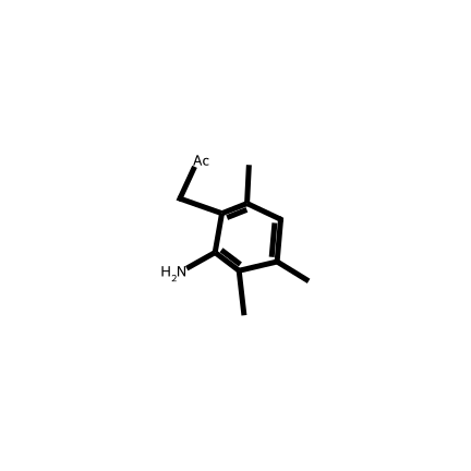 CC(=O)Cc1c(C)cc(C)c(C)c1N